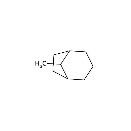 CC1C2C[CH]CC1CC2